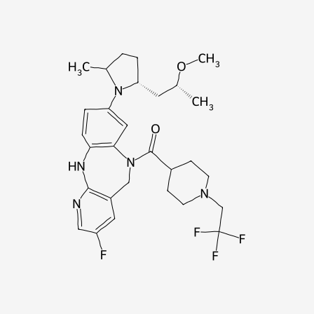 CO[C@H](C)C[C@H]1CCC(C)N1c1ccc2c(c1)N(C(=O)C1CCN(CC(F)(F)F)CC1)Cc1cc(F)cnc1N2